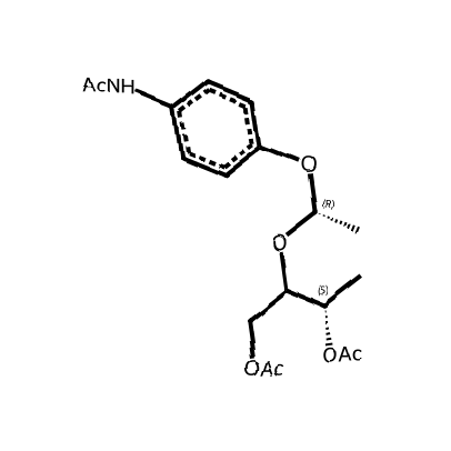 CC(=O)Nc1ccc(O[C@H](C)OC(COC(C)=O)[C@H](C)OC(C)=O)cc1